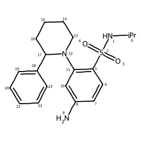 CC(C)NS(=O)(=O)c1ccc(N)cc1N1CCCCC1c1ccccc1